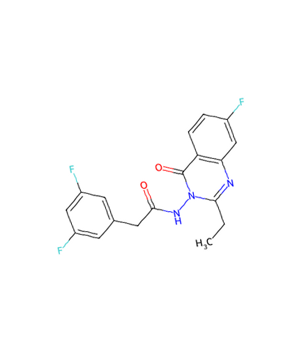 CCc1nc2cc(F)ccc2c(=O)n1NC(=O)Cc1cc(F)cc(F)c1